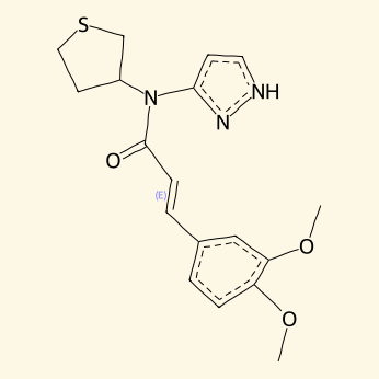 COc1ccc(/C=C/C(=O)N(c2cc[nH]n2)C2CCSC2)cc1OC